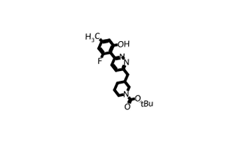 Cc1cc(O)c(-c2ccc(CC3CCCN(C(=O)OC(C)(C)C)C3)nn2)c(F)c1